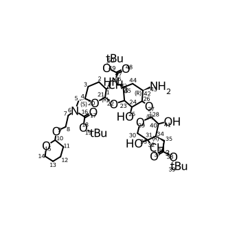 CC1CC[C@@H](CN(CCOC2CCCCO2)C(=O)OC(C)(C)C)O[C@@H]1OC1C(O)C(O[C@H]2OCC(C)(O)[C@H](CC(=O)OC(C)(C)C)C2O)[C@H](N)C[C@@H]1NC(=O)OC(C)(C)C